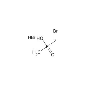 Br.CP(=O)(O)CBr